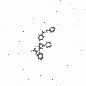 O=C(NCc1ccccn1)[C@H]1CC[C@H](Oc2cc(-n3c(C(F)F)nc4ccccc43)nc(N3CCOCC3)n2)CC1